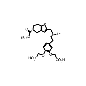 CC(=O)N(CCc1ccc(OCC(=O)O)c(OCC(=O)O)c1)Cc1cc2c(s1)CCN(C(=O)OC(C)(C)C)C2